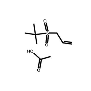 C=CCS(=O)(=O)C(C)(C)C.CC(=O)O